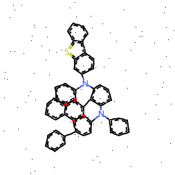 c1ccc(-c2ccc(N(c3ccccc3)c3cccc(N(c4ccccc4)c4ccc5c(c4)sc4ccccc45)c3-c3ccc4ccccc4c3)cc2)cc1